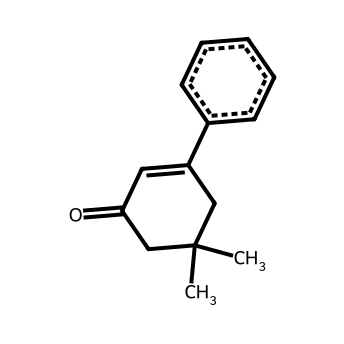 CC1(C)CC(=O)C=C(c2ccccc2)C1